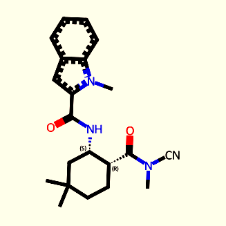 CN(C#N)C(=O)[C@@H]1CCC(C)(C)C[C@@H]1NC(=O)c1cc2ccccc2n1C